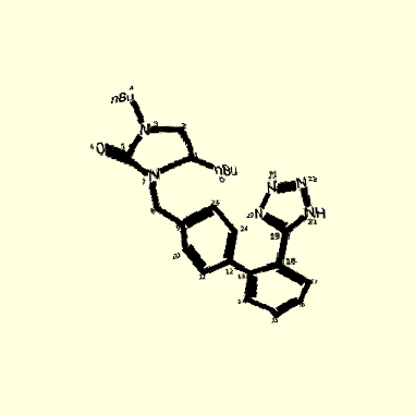 CCCCC1CN(CCCC)C(=O)N1Cc1ccc(-c2ccccc2-c2nnn[nH]2)cc1